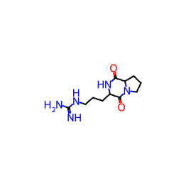 N=C(N)NCCCC1NC(=O)C2CCCN2C1=O